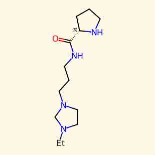 CCN1CCN(CCCNC(=O)[C@@H]2CCCN2)C1